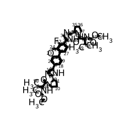 COC(=O)N[C@H](C(=O)N1CCC[C@H]1c1ncc(-c2ccc3c(c2)OCc2c-3ccc(-c3cnc([C@@H]4CCCN4C(=O)[C@@H](NC(=O)OC)C(C)C)[nH]3)c2F)[nH]1)C(C)C